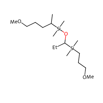 CCC(O[Si](C)(C)C(C)CCCOC)[Si](C)(C)CCCOC